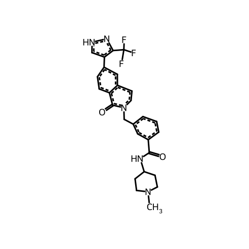 CN1CCC(NC(=O)c2cccc(Cn3ccc4cc(-c5c[nH]nc5C(F)(F)F)ccc4c3=O)c2)CC1